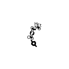 CCC(=O)NCC(=O)N1CCN(C(=O)OCc2ccc(C)cc2)CC1